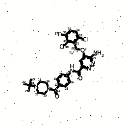 C[C@@H](Oc1cc(C(=O)Nc2ccc(C(=O)N3CCN(C(C)(C)C)CC3)cc2)nnc1N)c1c(Cl)ccc(F)c1Cl